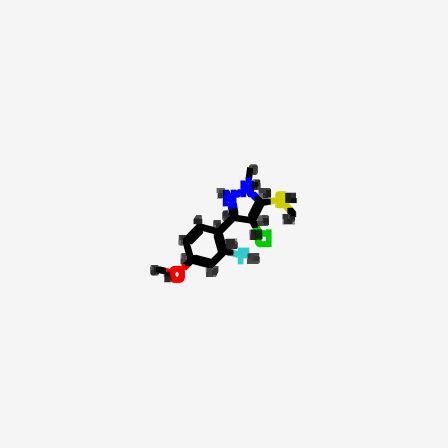 COc1ccc(-c2nn(C)c(SC)c2Cl)c(F)c1